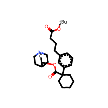 CC(C)(C)OC(=O)CCCc1cccc(C2(C(=O)OC3CN4CCC3CC4)CCCCC2)c1